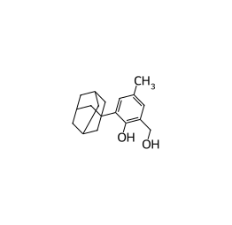 Cc1cc(CO)c(O)c(C23CC4CC(CC(C4)C2)C3)c1